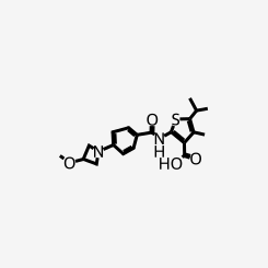 COC1CN(c2ccc(C(=O)Nc3sc(C(C)C)c(C)c3C(=O)O)cc2)C1